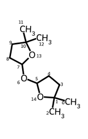 CC1(C)CCC(OC2CCC(C)(C)O2)O1